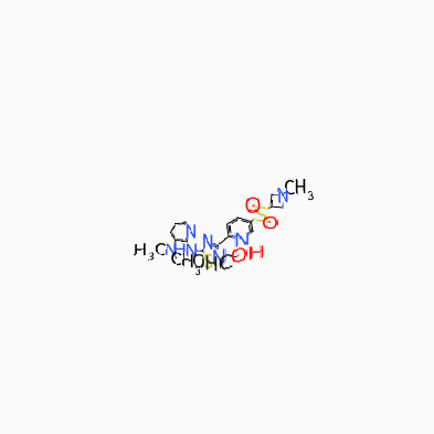 CN1CC(S(=O)(=O)c2ccc(-c3nsc(Nc4ncccc4N(C)C)n3)nc2)C1.O=CO